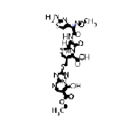 CCOC(=O)c1cnc2nc(SCC3=C(C(=O)O)N4C(=O)[C@@H](NC(=O)/C(=N\OC)c5csc(N)n5)[C@H]4SC3)nn2c1O